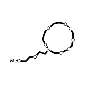 COCCOCCN1COCCOCCOCCOCCO1